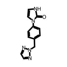 O=c1[nH]ccn1-c1ccc(Cn2nccn2)cc1